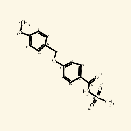 COc1ccc(COc2ccc(C(=O)NS(C)(=O)=O)cc2)cc1